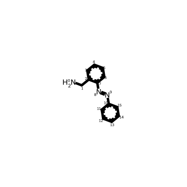 NCc1ccccc1/N=N/c1ccccc1